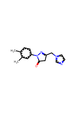 Cc1ccc(N2N=C(Cn3ccnc3)CC2=O)cc1C